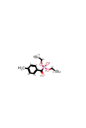 Cc1ccc(C(=O)P(=O)(OCC(C)(C)C)OCC(C)(C)C)cc1